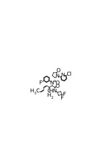 C=C(/C=C\C=C/C)[C@H](C(=O)NC1CC(F)(F)C1)N(C(=O)[C@@H]1CCC(=O)N1c1cccc(Cl)n1)c1cccc(F)c1